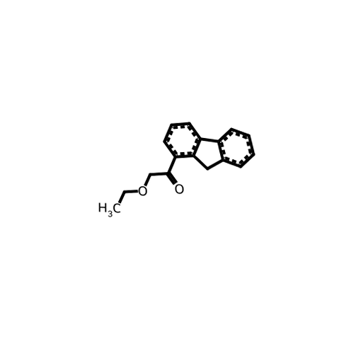 CCOCC(=O)c1cccc2c1Cc1ccccc1-2